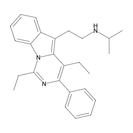 CCc1c(-c2ccccc2)nc(CC)n2c1c(CCNC(C)C)c1ccccc12